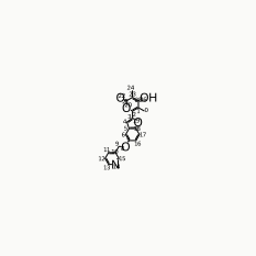 Cc1c(-c2cc3cc(OCc4cccnc4)ccc3o2)oc(=O)c(C)c1O